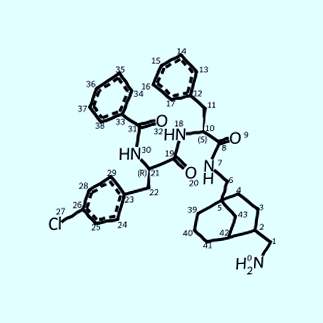 NCC1CCC2(CNC(=O)[C@H](Cc3ccccc3)NC(=O)[C@@H](Cc3ccc(Cl)cc3)NC(=O)c3ccccc3)CCCC1C2